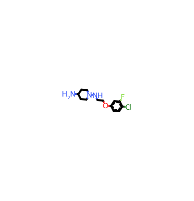 NC1CCN(NCCOc2ccc(Cl)c(F)c2)CC1